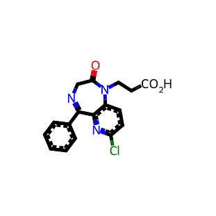 O=C(O)CCN1C(=O)CN=C(c2ccccc2)c2nc(Cl)ccc21